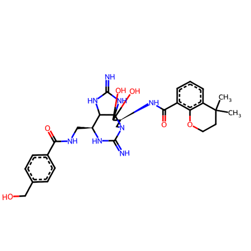 CC1(C)CCOc2c(C(=O)N[C@H]3CN4C(=N)N[C@@H](CNC(=O)c5ccc(CO)cc5)C5NC(=N)NC54C3(O)O)cccc21